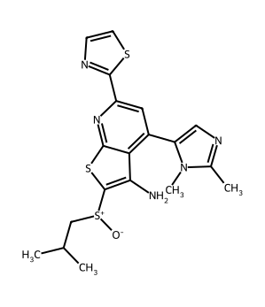 Cc1ncc(-c2cc(-c3nccs3)nc3sc([S+]([O-])CC(C)C)c(N)c23)n1C